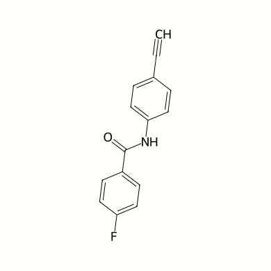 C#Cc1ccc(NC(=O)c2ccc(F)cc2)cc1